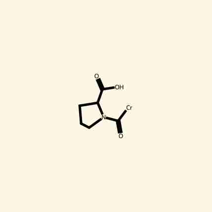 O=C(O)C1CCCN1[C](=O)[Cr]